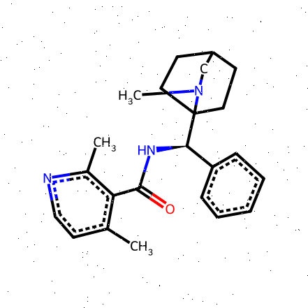 Cc1ccnc(C)c1C(=O)N[C@H](c1ccccc1)C12CCC(CC1)CN2C